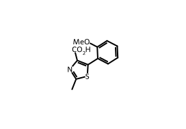 COc1ccccc1-c1sc(C)nc1C(=O)O